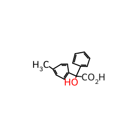 Cc1ccc(C(O)(C(=O)O)c2ccccc2)cc1